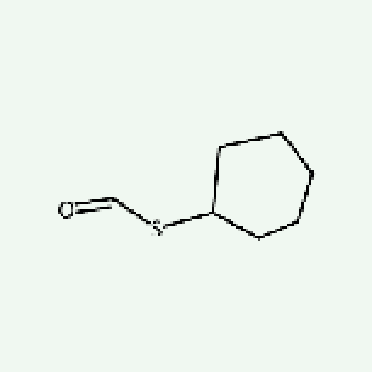 O=CSC1CCCCC1